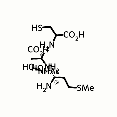 CC(=O)NO.CC(N)C(=O)O.CSCC[C@H](N)C(=O)O.NC(CS)C(=O)O